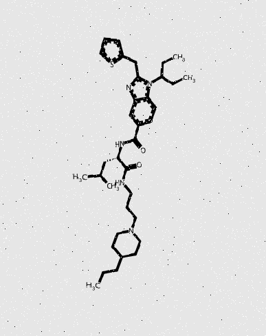 CCCC1CCN(CCCNC(=O)[C@H](CC(C)C)NC(=O)c2ccc3c(c2)nc(Cc2cccs2)n3C(CC)CC)CC1